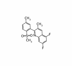 Cc1ccc(S(C)(=O)=O)c(-c2nc3cc(F)cc(F)c3cc2C)c1